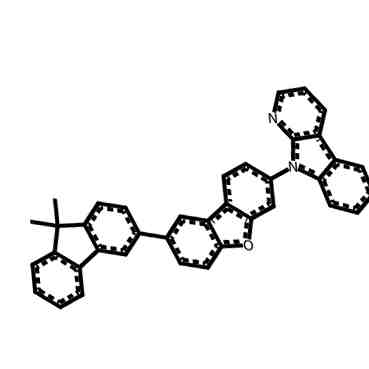 CC1(C)c2ccccc2-c2cc(-c3ccc4oc5cc(-n6c7ccccc7c7cccnc76)ccc5c4c3)ccc21